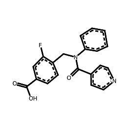 O=C(O)c1ccc(CN(C(=O)c2ccncc2)c2ccccc2)c(F)c1